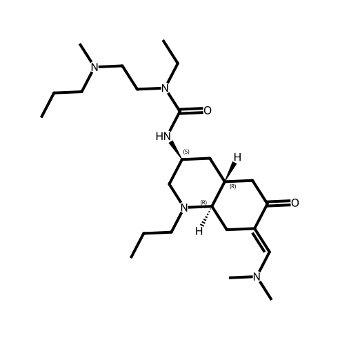 CCCN(C)CCN(CC)C(=O)N[C@H]1C[C@@H]2CC(=O)C(=CN(C)C)C[C@H]2N(CCC)C1